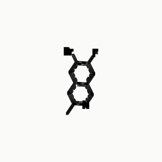 Cc1cc2cc(Br)c(F)cc2cn1